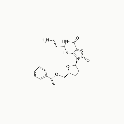 NN=NC1NC(=O)c2sc(=O)n([C@H]3CC[C@@H](COC(=O)c4ccccc4)O3)c2N1